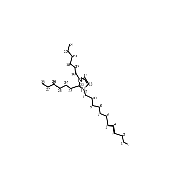 CCCCCCCCCCCCN1C=CN(CCCCCC)C1CCCCCC